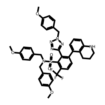 COc1ccc(CN(Cc2ccc(OC)cc2)S(=O)(=O)c2c(C(F)(F)F)ccc(-c3cccc4c3CCCN4)c2-c2nnn(Cc3ccc(OC)cc3)n2)cc1